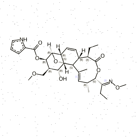 CC/C(=N\OC)[C@H]1OC(=O)[C@H](CC)[C@H]2C=C[C@H]3[C@H]4O[C@]2(/C(C)=C/[C@H]1C)[C@@H]3[C@H](O)[C@@H](COC)[C@H]4OC(=O)c1ccc[nH]1